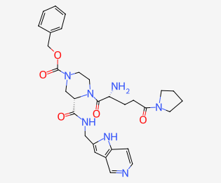 N[C@H](CCC(=O)N1CCCC1)C(=O)N1CCN(C(=O)OCc2ccccc2)C[C@H]1C(=O)NCc1cc2cnccc2[nH]1